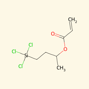 C=CC(=O)OC(C)CC[Si](Cl)(Cl)Cl